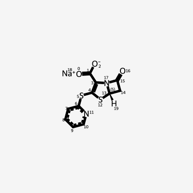 O=C([O-])C1=C(Sc2ccccn2)S[C@H]2CC(=O)N12.[Na+]